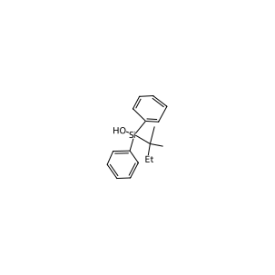 CCC(C)(C)[Si](O)(c1ccccc1)c1ccccc1